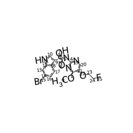 COc1nc(NS(=O)(=O)c2c[nH]c3cc(Br)ccc23)ncc1OCCF